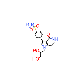 NS(=O)(=O)c1ccc(-c2cn(CC(O)CO)c3cc[nH]c(=O)c23)cc1